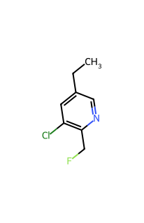 CCc1cnc(CF)c(Cl)c1